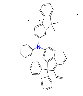 C=CC1=C(/C=C\C)c2ccc(N(c3ccccc3)c3ccc4c(c3)C(C)(C)c3ccccc3-4)cc2C1(c1ccccc1)c1ccccc1